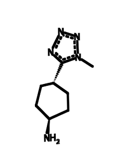 Cn1nnnc1[C@H]1CC[C@H](N)CC1